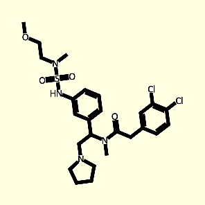 COCCN(C)S(=O)(=O)Nc1cccc(C(CN2CCCC2)N(C)C(=O)Cc2ccc(Cl)c(Cl)c2)c1